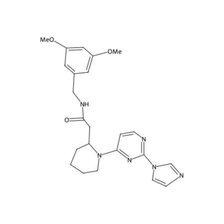 COc1cc(CNC(=O)CC2CCCCN2c2ccnc(-n3ccnc3)n2)cc(OC)c1